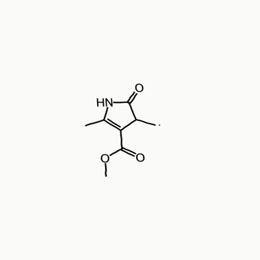 [CH2]C1C(=O)NC(C)=C1C(=O)OC